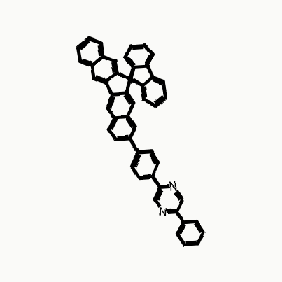 c1ccc(-c2cnc(-c3ccc(-c4ccc5cc6c(cc5c4)C4(c5ccccc5-c5ccccc54)c4cc5ccccc5cc4-6)cc3)cn2)cc1